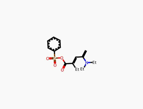 C=C(C=C(CC)C(=O)OS(=O)(=O)c1ccccc1)N(CC)CC